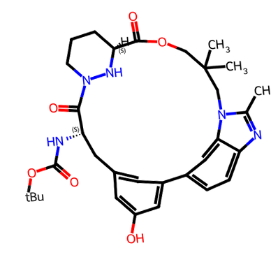 Cc1nc2ccc3cc2n1CC(C)(C)COC(=O)[C@@H]1CCCN(N1)C(=O)[C@@H](NC(=O)OC(C)(C)C)Cc1cc(O)cc-3c1